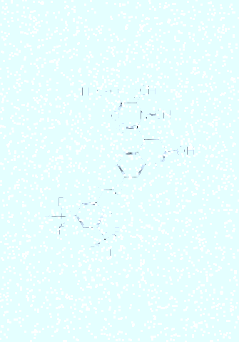 COC(=O)C(C)N(C)C(=O)C(CC(=O)O)c1ccc(OCc2cc(C(F)(F)F)cc(C(F)(F)F)c2)cc1